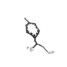 CCOC(=O)CC(c1ccc(C)cc1)C(F)(F)F